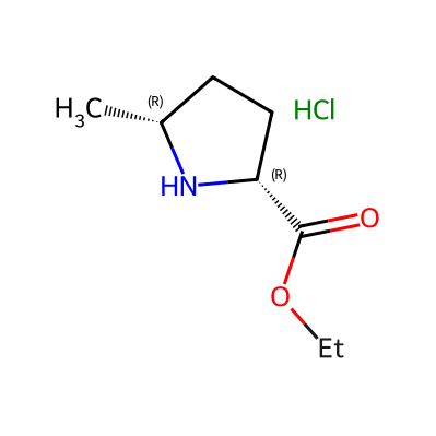 CCOC(=O)[C@H]1CC[C@@H](C)N1.Cl